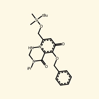 CC(C)N1CNn2c(CO[Si](C)(C)C(C)(C)C)cc(=O)c(OCc3ccccc3)c2C1=O